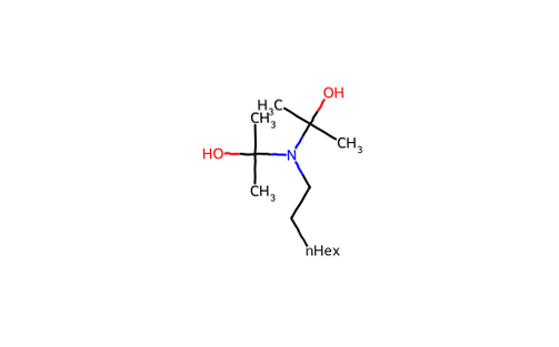 CCCCCCCCN(C(C)(C)O)C(C)(C)O